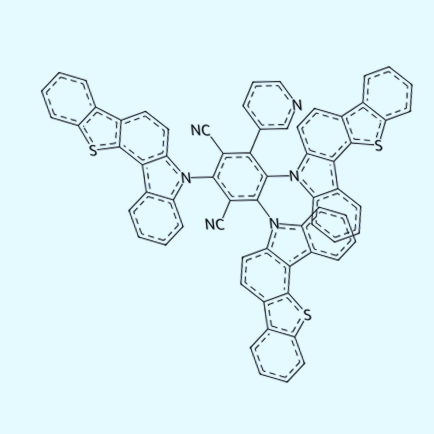 N#Cc1c(-c2cccnc2)c(-n2c3ccccc3c3c4sc5ccccc5c4ccc32)c(-n2c3ccccc3c3c4sc5ccccc5c4ccc32)c(C#N)c1-n1c2ccccc2c2c3sc4ccccc4c3ccc21